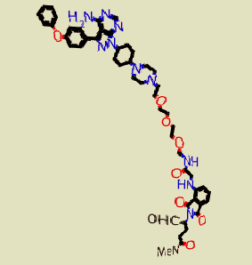 CNC(=O)CCC(C=O)N1C(=O)c2cccc(NCC(=O)NCOCCOCCOCCN3CCN(C4CCC(n5nc(-c6ccc(Oc7ccccc7)cc6)c6c(N)ncnc65)CC4)CC3)c2C1=O